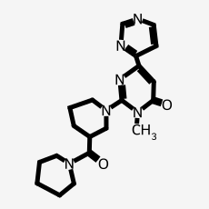 Cn1c(N2CCCC(C(=O)N3CCCCC3)C2)nc(-c2ccncn2)cc1=O